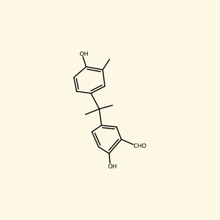 Cc1cc(C(C)(C)c2ccc(O)c(C=O)c2)ccc1O